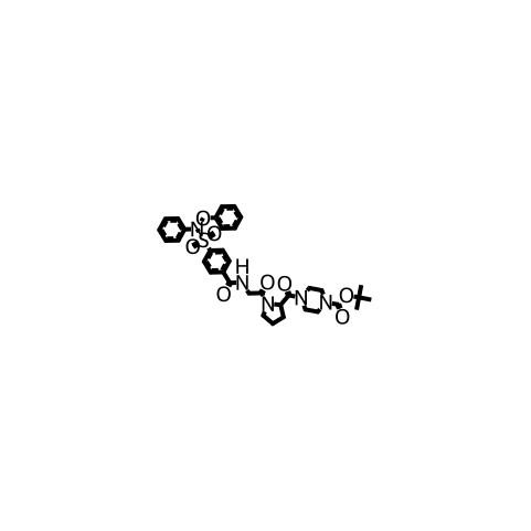 CC(C)(C)OC(=O)N1CCN(C(=O)C2CCCN2C(=O)CNC(=O)c2ccc(S(=O)(=O)N(Oc3ccccc3)c3ccccc3)cc2)CC1